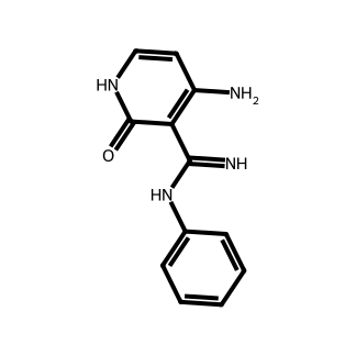 N=C(Nc1ccccc1)c1c(N)cc[nH]c1=O